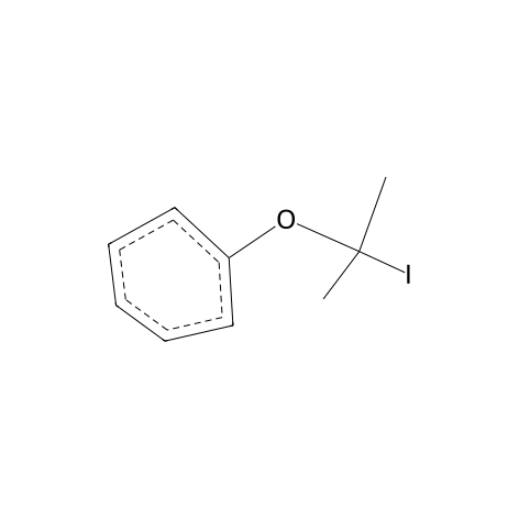 CC(C)(I)Oc1ccccc1